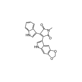 CN1C(=O)C(c2c[nH]c3ccccc23)=C(c2c[nH]c3cc4c(cc23)OCO4)C1=O